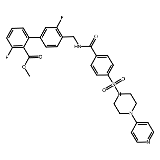 COC(=O)c1c(F)cccc1-c1ccc(CNC(=O)c2ccc(S(=O)(=O)N3CCN(c4ccncc4)CC3)cc2)c(F)c1